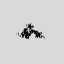 CC(C)N(c1cccc2cc(-c3ncc(CN4CC5C(=O)N(C)C(=O)C5C4)s3)[nH]c12)S(=O)(=O)c1cccs1.O=C(O)C(F)(F)F